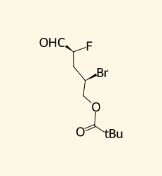 CC(C)(C)C(=O)OC[C@H](Br)C[C@H](F)C=O